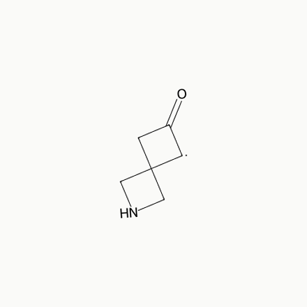 O=C1[CH]C2(CNC2)C1